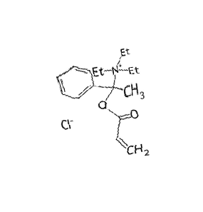 C=CC(=O)OC(C)(c1ccccc1)[N+](CC)(CC)CC.[Cl-]